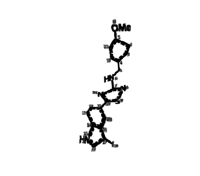 COc1ccc(CNc2nsc(-c3ccc4[nH]cc(I)c4c3)n2)cc1